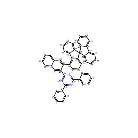 c1ccc(-c2nc(-c3ccccc3)nc(-c3cc4ccccc4cc3-c3cccc4c3-c3ccccc3C43c4ccccc4-c4ccccc43)n2)cc1